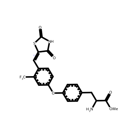 COC(=O)C(N)Cc1ccc(Oc2ccc(/C=C3/SC(=O)NC3=O)c(C(F)(F)F)c2)cc1